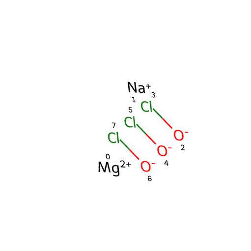 [Mg+2].[Na+].[O-]Cl.[O-]Cl.[O-]Cl